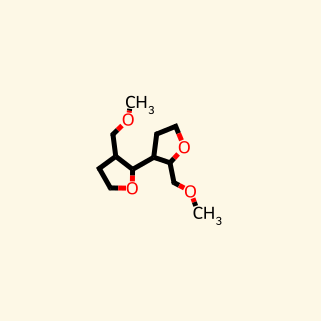 COCC1CCOC1C1CCOC1COC